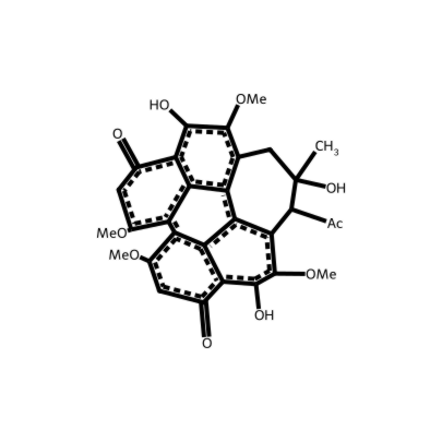 COc1c(O)c2c(=O)cc(OC)c3c4c(OC)cc(=O)c5c(O)c(OC)c6c(c(c1CC(C)(O)C6C(C)=O)c23)c54